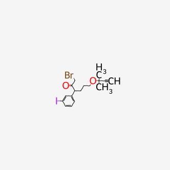 C#CC(C)(C)OCCCC(C(=O)CBr)c1cccc(I)c1